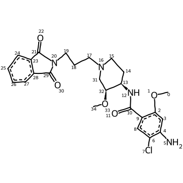 COc1cc(N)c(Cl)cc1C(=O)N[C@@H]1CCN(CCCN2C(=O)c3ccccc3C2=O)C[C@@H]1OC